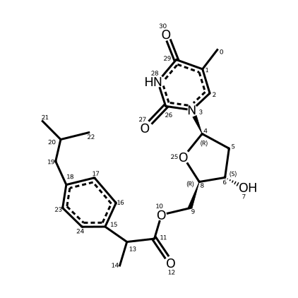 Cc1cn([C@H]2C[C@H](O)[C@@H](COC(=O)C(C)c3ccc(CC(C)C)cc3)O2)c(=O)[nH]c1=O